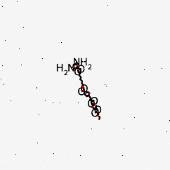 CCCCC(=O)Oc1ccc(OC(=O)C=Cc2ccc(C(=O)OCCCCCCCCOC(=O)c3cc(N)cc(N)c3)cc2)cc1